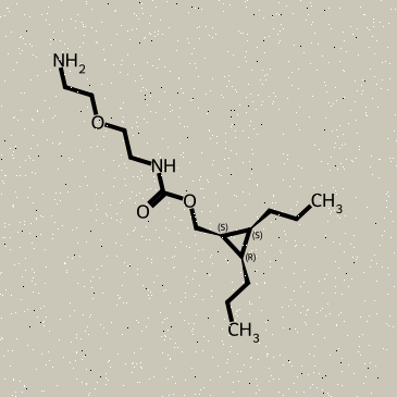 CCC[C@@H]1[C@H](CCC)[C@@H]1COC(=O)NCCOCCN